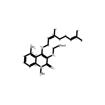 CCCCn1c(=O)c(OCC(C)CCC)c(OCC=C(C)CCC=C(C)C)c2c(N)cccc21